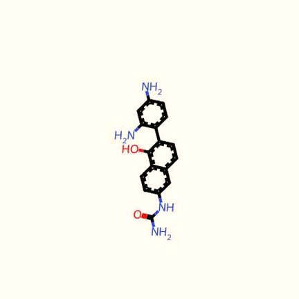 NC(=O)Nc1ccc2c(O)c(-c3ccc(N)cc3N)ccc2c1